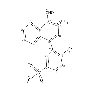 CCc1ccc(S(C)(=O)=O)cc1-c1c[n+](C)c(C=O)c2ccccc12